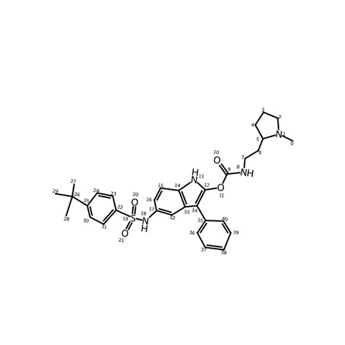 CN1CCCC1CCNC(=O)Oc1[nH]c2ccc(NS(=O)(=O)c3ccc(C(C)(C)C)cc3)cc2c1-c1ccccc1